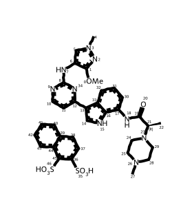 COc1nn(C)cc1Nc1nccc(-c2c[nH]c3c(NC(=O)[C@@H](C)N4CCN(C)CC4)cccc23)n1.O=S(=O)(O)c1ccc2ccccc2c1S(=O)(=O)O